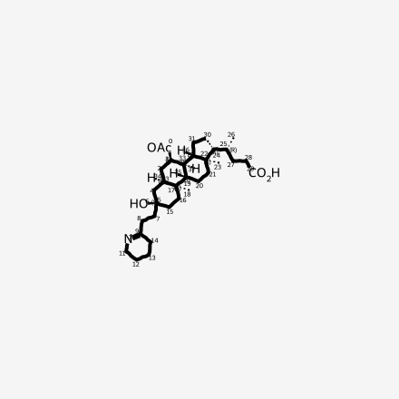 CC(=O)O[C@@H]1C[C@@H]2C[C@@](O)(CCC3=NCCCC3)CC[C@]2(C)[C@H]2CC[C@]3(C)[C@@H]([C@H](C)CCC(=O)O)CC[C@H]3[C@H]12